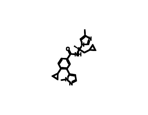 Cc1cn([C@@](C)(CC2CC2)NC(=O)c2ccc(C3CC3)c(-c3ccnn3C)c2)cn1